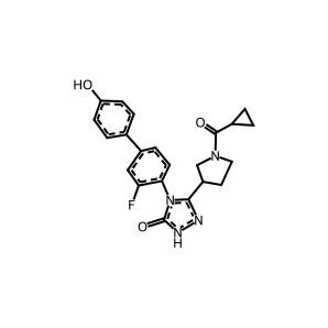 O=C(C1CC1)N1CCC(c2n[nH]c(=O)n2-c2ccc(-c3ccc(O)cc3)cc2F)C1